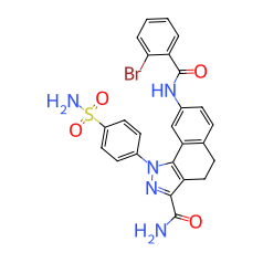 NC(=O)c1nn(-c2ccc(S(N)(=O)=O)cc2)c2c1CCc1ccc(NC(=O)c3ccccc3Br)cc1-2